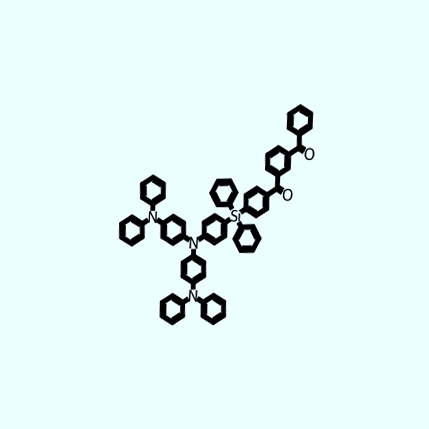 O=C(c1ccccc1)c1cccc(C(=O)c2ccc([Si](c3ccccc3)(c3ccccc3)c3ccc(N(c4ccc(N(c5ccccc5)c5ccccc5)cc4)c4ccc(N(c5ccccc5)c5ccccc5)cc4)cc3)cc2)c1